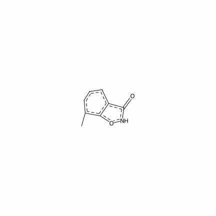 Cc1cccc2c(=O)[nH]oc12